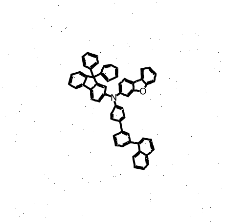 c1ccc(C2(c3ccccc3)c3ccccc3-c3ccc(N(c4ccc(-c5cccc(-c6cccc7ccccc67)c5)cc4)c4ccc5c(c4)oc4ccccc45)cc32)cc1